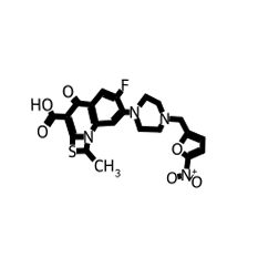 CC1Sc2c(C(=O)O)c(=O)c3cc(F)c(N4CCN(Cc5ccc([N+](=O)[O-])o5)CC4)cc3n21